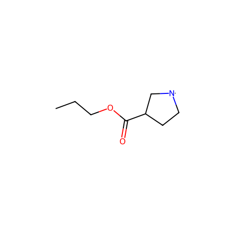 CCCOC(=O)C1CC[N]C1